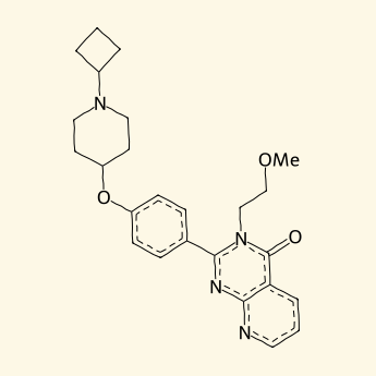 COCCn1c(-c2ccc(OC3CCN(C4CCC4)CC3)cc2)nc2ncccc2c1=O